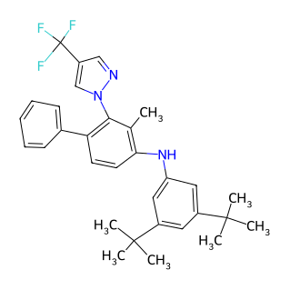 Cc1c(Nc2cc(C(C)(C)C)cc(C(C)(C)C)c2)ccc(-c2ccccc2)c1-n1cc(C(F)(F)F)cn1